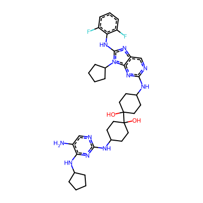 Nc1cnc(NC2CCC(O)(C3(O)CCC(Nc4ncc5nc(Nc6c(F)cccc6F)n(C6CCCC6)c5n4)CC3)CC2)nc1NC1CCCC1